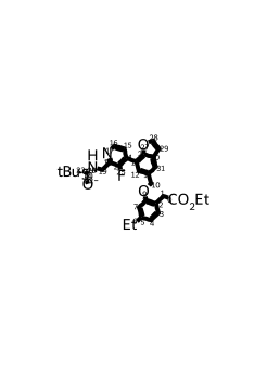 CCOC(=O)Cc1ccc(CC)cc1OCc1cc(-c2ccnc(CN[S@@+]([O-])C(C)(C)C)c2F)c2occc2c1